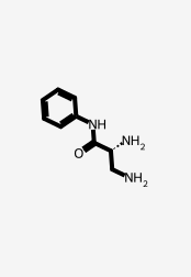 NC[C@@H](N)C(=O)Nc1ccccc1